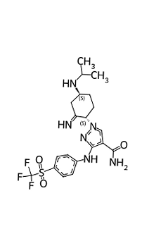 CC(C)N[C@H]1CC[C@H](n2cc(C(N)=O)c(Nc3ccc(S(=O)(=O)C(F)(F)F)cc3)n2)C(=N)C1